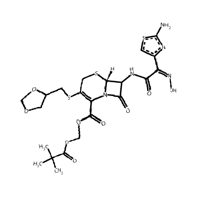 CC(C)(C)C(=O)OCOC(=O)C1=C(SCC2COCO2)CS[C@@H]2C(NC(=O)/C(=N\O)c3csc(N)n3)C(=O)N12